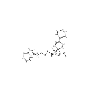 COC(=O)C1(S(=O)(=O)NCCCNc2nsc3ccccc23)C=CC(c2ccccc2)C=C1